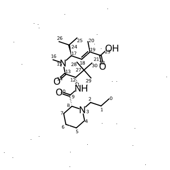 CCCN1CCCC[C@@H]1C(=O)N[C@H](C(=O)N(C)[C@H](/C=C(\C)C(=O)O)C(C)C)C(C)(C)C